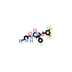 C[C@@H](O[C@H]1CN2C(=O)CC(NC(=O)c3ccc(C#N)nc3)C[C@H]2[C@@H]1c1ccc(F)cc1)c1cc(C(F)(F)F)cc(C(F)(F)F)c1